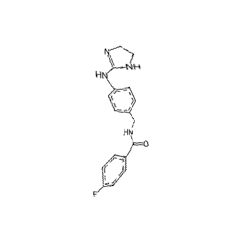 O=C(NCc1ccc(NC2=NCCN2)cc1)c1ccc(F)cc1